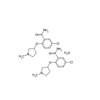 CN1CCC(Oc2ccc(Cl)cc2C(N)=O)C1.CN1CCC(Oc2ccc(Cl)cc2C(N)=O)C1.O